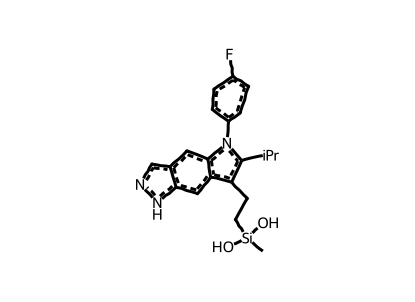 CC(C)c1c(CC[Si](C)(O)O)c2cc3[nH]ncc3cc2n1-c1ccc(F)cc1